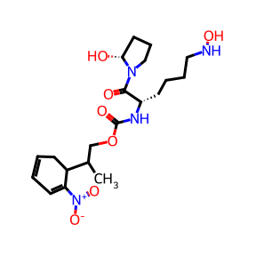 CC(COC(=O)N[C@@H](CCCCNO)C(=O)N1CCC[C@H]1O)C1CC=CC=C1[N+](=O)[O-]